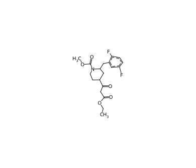 CCOC(=O)CC(=O)C1CCN(C(=O)OC)C(Cc2cc(F)ccc2F)C1